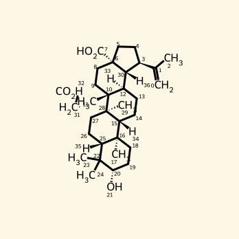 C=C(C)[C@@H]1CC[C@]2(C(=O)O)CC[C@]3(C)[C@H](CC[C@@H]4[C@@]5(C)CC[C@H](O)C(C)(C)[C@@H]5CC[C@]43C)[C@@H]12.[CH2]C(=O)O